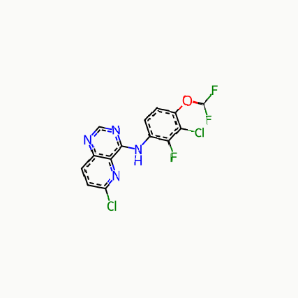 Fc1c(Nc2ncnc3ccc(Cl)nc23)ccc(OC(F)F)c1Cl